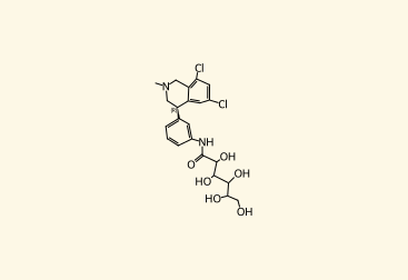 CN1Cc2c(Cl)cc(Cl)cc2[C@@H](c2cccc(NC(=O)C(O)C(O)C(O)C(O)CO)c2)C1